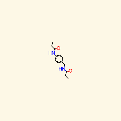 CCC(=O)NCc1ccc(NC(=O)CC)cc1